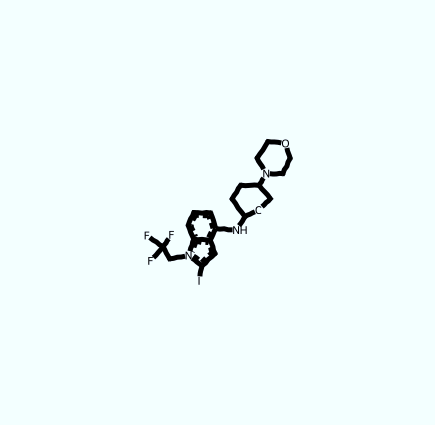 FC(F)(F)Cn1c(I)cc2c(NC3CCC(N4CCOCC4)CC3)cccc21